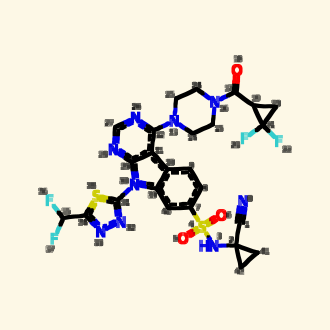 N#CC1(NS(=O)(=O)c2ccc3c4c(N5CCN(C(=O)C6CC6(F)F)CC5)ncnc4n(-c4nnc(C(F)F)s4)c3c2)CC1